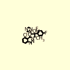 C[C@@H](n1nnc2cccc(Cl)c2c1=O)[C@](O)(Cn1cncn1)c1ccc(F)cc1F